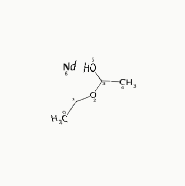 CCOC(C)O.[Nd]